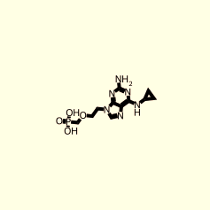 Nc1nc(NC2CC2)c2ncn(CCOCP(=O)(O)O)c2n1